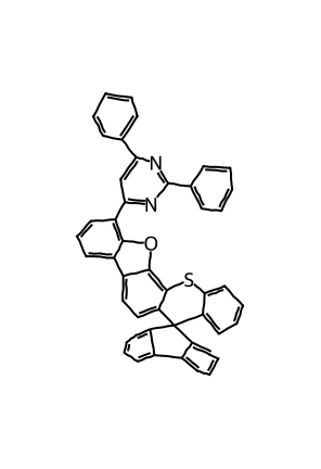 c1ccc(-c2cc(-c3cccc4c3oc3c5c(ccc34)C3(c4ccccc4S5)c4ccccc4-c4ccccc43)nc(-c3ccccc3)n2)cc1